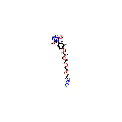 [N-]=[N+]=NCCOCCOCCOCCOc1ccc(N2C(=O)N=NC2=O)cc1